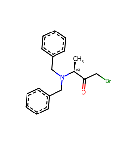 C[C@@H](C(=O)CBr)N(Cc1ccccc1)Cc1ccccc1